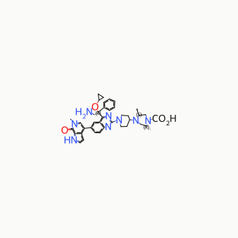 C[C@@H]1CN(C2CCN(c3nc([C@@](CN)(OC4CC4)c4ccccc4)c4cc(-c5cn(C)c(=O)c6[nH]ccc56)ccc4n3)CC2)[C@@H](C)CN1C(=O)O